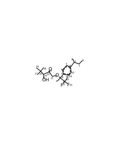 CCC(C)c1ccc(C(C)(OCC(=O)C(O)C(C)(C)C)C(F)(F)F)cc1